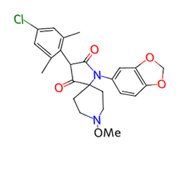 CON1CCC2(CC1)C(=O)C(c1c(C)cc(Cl)cc1C)C(=O)N2c1ccc2c(c1)OCO2